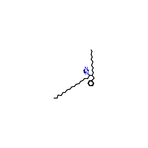 CCCCCCCCCCCCCCCCC(C(CCCCCCCCCC)Cc1ccccc1)n1ccnc1